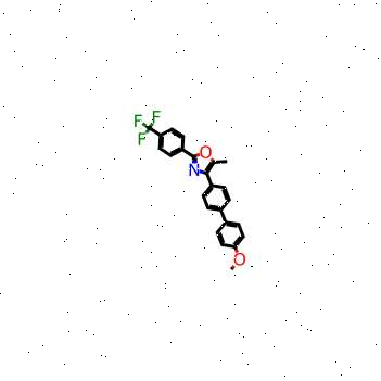 COc1ccc(-c2ccc(-c3nc(-c4ccc(C(F)(F)F)cc4)oc3C)cc2)cc1